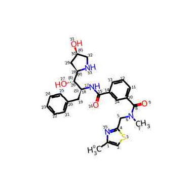 Cc1csc(CN(C)C(=O)c2cccc(C(=O)N[C@@H](Cc3ccccc3)[C@H](O)[C@H]3C[C@@H](O)CN3)c2)n1